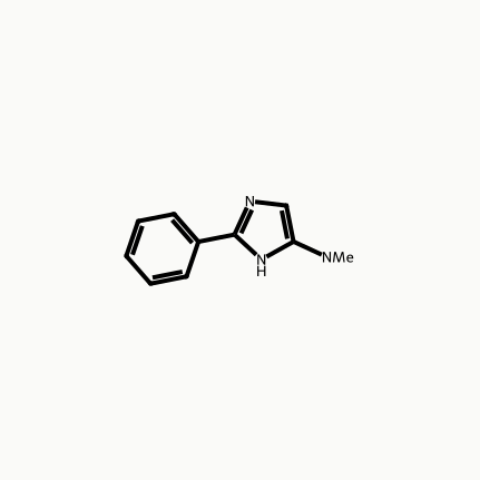 CNc1cnc(-c2ccccc2)[nH]1